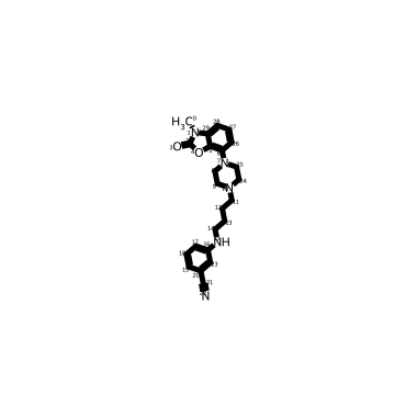 Cn1c(=O)oc2c(N3CCN(CCCCNc4cccc(C#N)c4)CC3)cccc21